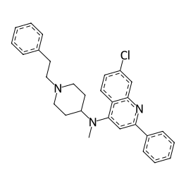 CN(c1cc(-c2ccccc2)nc2cc(Cl)ccc12)C1CCN(CCc2ccccc2)CC1